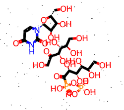 O=C(CO)[C@@H](O)[C@H](O)[C@H](O)CO.O=C([C@H](O)[C@@H](O)[C@H](O)[C@H](O)CO)P(=O)(O)OP(=O)(O)O.O=c1ccn([C@@H]2O[C@H](CO)[C@@H](O)[C@H]2O)c(=O)[nH]1